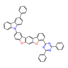 c1ccc(-c2ccc3c(c2)c2ccccc2n3-c2ccc3oc4cc5oc6c(-c7nc(-c8ccccc8)nc(-c8ccccc8)n7)cccc6c5cc4c3c2)cc1